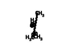 C1CC[SiH2]OC1.CCCCCCCCCCCCCCCC(=O)OC(C)C